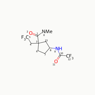 CNC(=O)C1(CC(F)(F)F)CCC(NC(=O)C(F)(F)F)C1